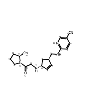 N#Cc1ccc(NC[C@H]2C=C[C@H](NCC(=O)N3CCC[C@H]3C#N)C2)nc1